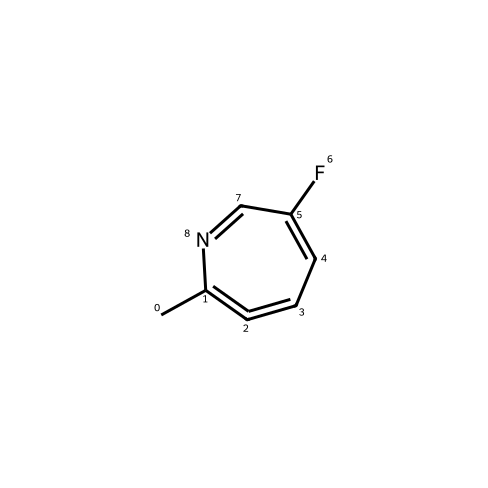 CC1=C=CC=C(F)C=N1